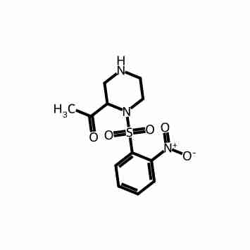 CC(=O)C1CNCCN1S(=O)(=O)c1ccccc1[N+](=O)[O-]